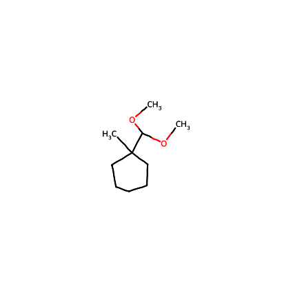 COC(OC)C1(C)CCCCC1